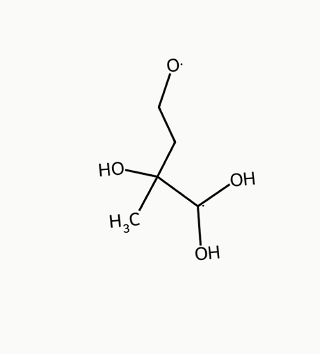 CC(O)(CC[O])[C](O)O